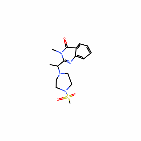 CC(c1nc2ccccc2c(=O)n1C)N1CCN(S(C)(=O)=O)CC1